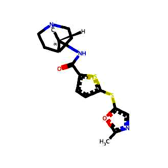 Cc1ncc(Sc2ccc(C(=O)N[C@H]3CN4CCC3CC4)s2)o1